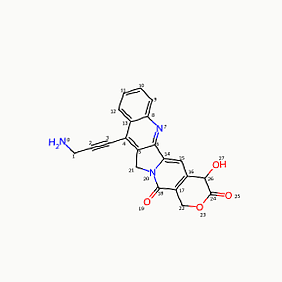 NCC#Cc1c2c(nc3ccccc13)-c1cc3c(c(=O)n1C2)COC(=O)C3O